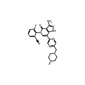 CN1CCN(Cc2cnc(-c3cn(-c4c(F)cccc4C#N)c(=O)c4c(N)n[nH]c34)cn2)CC1